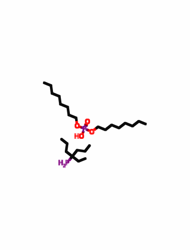 CCCC(P)(CC)CCC.CCCCCCCCOP(=O)(O)OCCCCCCCC